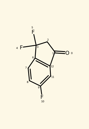 O=C1CC(F)(F)c2ccc(F)cc21